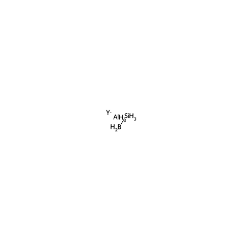 B[SiH3].[AlH3].[Y]